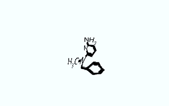 CN(Cc1ccccc1)c1cccc(N)n1